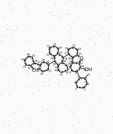 Cc1ccccc1-c1ccc2c(oc3cccc(-c4c5ccccc5c(-c5ccc6oc7ccccc7c6c5)c5ccccc45)c32)c1O